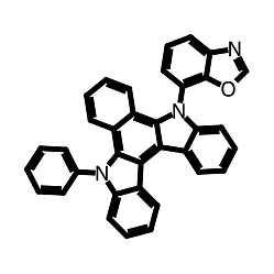 c1ccc(-n2c3ccccc3c3c4c5ccccc5n(-c5cccc6ncoc56)c4c4ccccc4c32)cc1